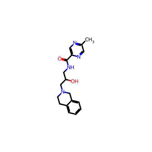 Cc1cnc(C(=O)NCC(O)CN2CCc3ccccc3C2)cn1